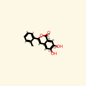 Cc1ccccc1-c1cc2cc(O)c(O)cc2c(=O)o1